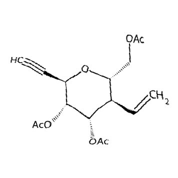 C#C[C@H]1O[C@H](COC(C)=O)[C@@H](C=C)[C@H](OC(C)=O)[C@@H]1OC(C)=O